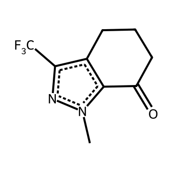 Cn1nc(C(F)(F)F)c2c1C(=O)CCC2